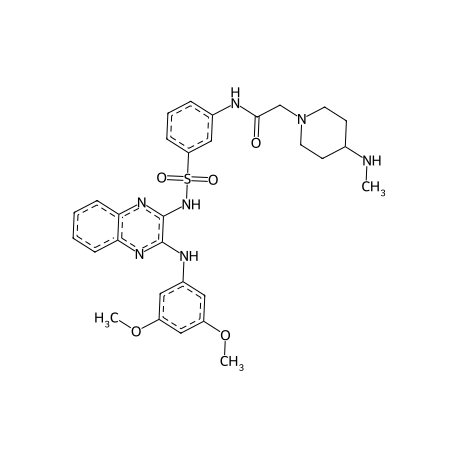 CNC1CCN(CC(=O)Nc2cccc(S(=O)(=O)Nc3nc4ccccc4nc3Nc3cc(OC)cc(OC)c3)c2)CC1